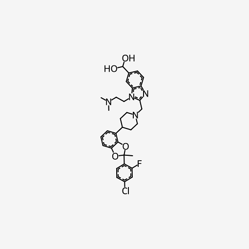 CN(C)CCn1c(CN2CCC(c3cccc4c3OC(C)(c3ccc(Cl)cc3F)O4)CC2)nc2ccc(C(O)O)cc21